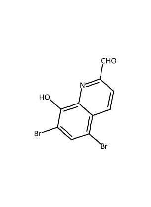 O=Cc1ccc2c(Br)cc(Br)c(O)c2n1